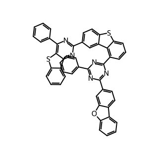 c1ccc(-c2nc(-c3ccc4c(c3)oc3ccccc34)nc(-c3cccc4sc5ccc(-c6nc(-c7ccccc7)c7sc8ccccc8c7n6)cc5c34)n2)cc1